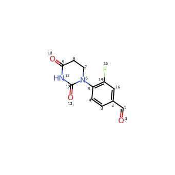 O=Cc1ccc(N2CCC(=O)NC2=O)c(F)c1